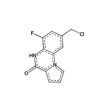 O=c1[nH]c2c(F)cc(CCl)cc2n2cccc12